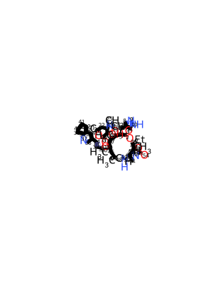 CC[C@H]1OC(=O)[C@H](Cc2cn[nH]c2)C(=O)[C@H](C)[C@@H](O[C@@H]2O[C@H](C)CC(N(C)C)C2O)[C@](C)(OC/C=C/c2cnc3ccccc3c2)C[C@@H](C)CN[C@@H]2CN3C(=O)O[C@@]1(C)[C@@H]23